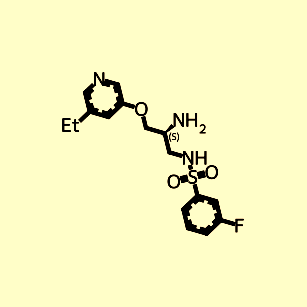 CCc1cncc(OC[C@@H](N)CNS(=O)(=O)c2cccc(F)c2)c1